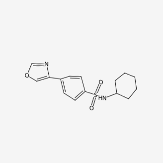 O=S(=O)(NC1CCCCC1)c1ccc(-c2cocn2)cc1